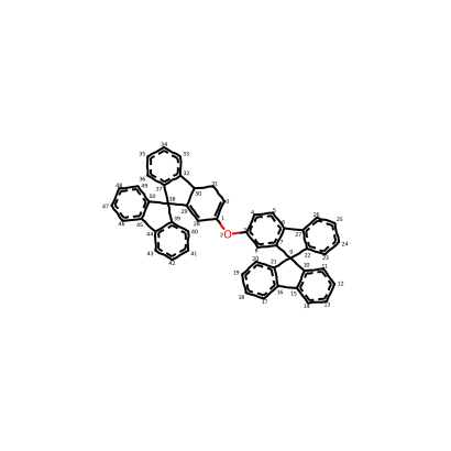 C1=C(Oc2ccc3c(c2)C2(c4ccccc4-c4ccccc42)c2ccccc2-3)C=C2C(C1)c1ccccc1C21c2ccccc2-c2ccccc21